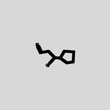 [O]C(CC=O)N1CCCC1